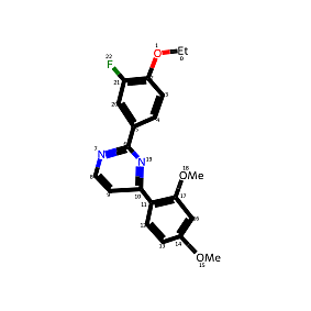 CCOc1ccc(-c2nccc(-c3ccc(OC)cc3OC)n2)cc1F